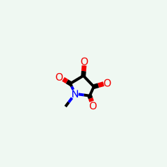 Cn1c(=O)c(=O)c(=O)c1=O